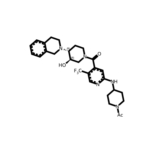 CC(=O)N1CCC(Nc2cc(C(=O)N3CC[C@@H](N4CCc5ccccc5C4)[C@H](O)C3)c(C(F)(F)F)cn2)CC1